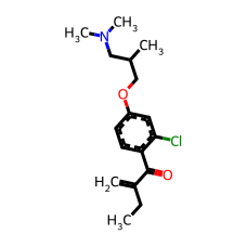 C=C(CC)C(=O)c1ccc(OCC(C)CN(C)C)cc1Cl